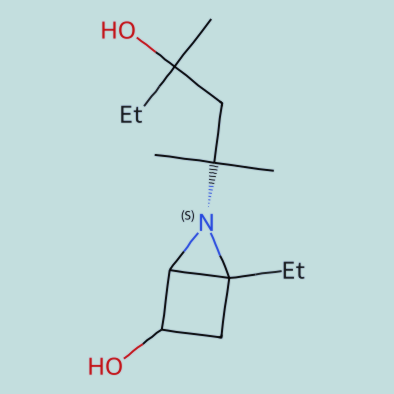 CCC(C)(O)CC(C)(C)[N@@]1C2C(O)CC21CC